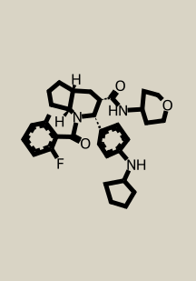 Cc1cccc(F)c1C(=O)N1[C@@H]2CCC[C@@H]2C[C@H](C(=O)NC2CCOCC2)[C@@H]1c1ccc(NC2CCCC2)cc1